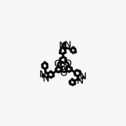 c1ccc(-c2ncnc3ccc(-c4cc5c6c(c4)Oc4cc(-c7ccc8ncnc(-c9ccccc9)c8c7)cc7c4B6c4c(cc(-c6ccc8ncnc(-c9ccccc9)c8c6)cc4O7)O5)cc23)cc1